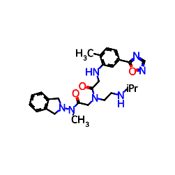 Cc1ccc(-c2ncno2)cc1NCC(=O)N(CCNC(C)C)CC(=O)N(C)N1Cc2ccccc2C1